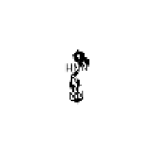 c1cnc(N2CCN(CCNc3nccc4ccccc34)CC2)nc1